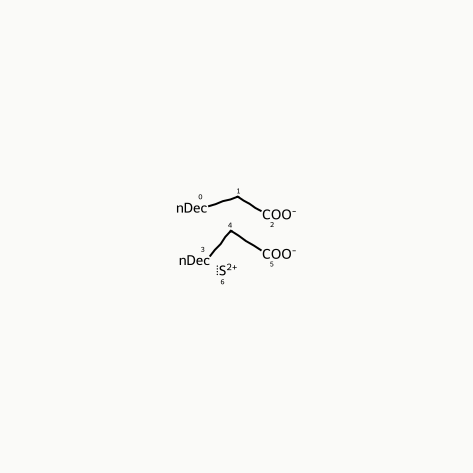 CCCCCCCCCCCC(=O)[O-].CCCCCCCCCCCC(=O)[O-].[S+2]